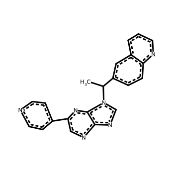 CC(c1ccc2ncccc2c1)n1cnc2ncc(-c3ccncc3)nc21